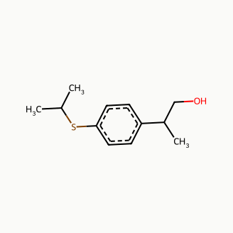 CC(C)Sc1ccc(C(C)CO)cc1